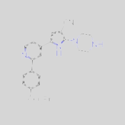 CCOC(=O)c1ccc(-c2cc(-c3cc(C#N)c(N4CCNCC4)[nH]3)ccn2)cc1